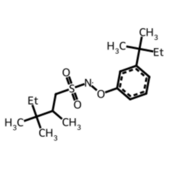 CCC(C)(C)c1cccc(O[N]S(=O)(=O)CC(C)C(C)(C)CC)c1